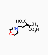 C/C(C(=O)O)=C(/CCN1CCOCC1)C(=O)O